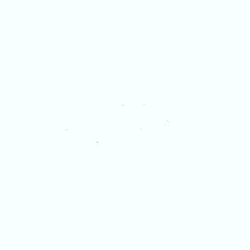 CCOC(=O)c1c(C)[nH]c(C(=O)OC(C)(C)C)c1CCc1ccccc1